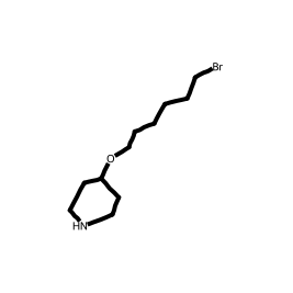 BrCCCCCCOC1CCNCC1